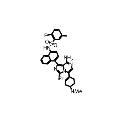 CNC1CC=C(c2cnc(N)c3c(-c4ccc(NS(=O)(=O)c5cc(C)ccc5F)c5ccccc45)nc(C(C)C)n23)CC1